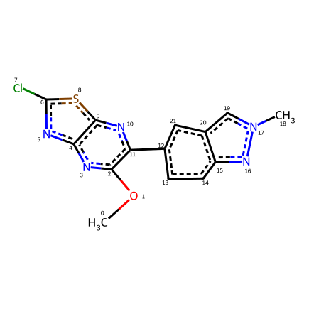 COc1nc2nc(Cl)sc2nc1-c1ccc2nn(C)cc2c1